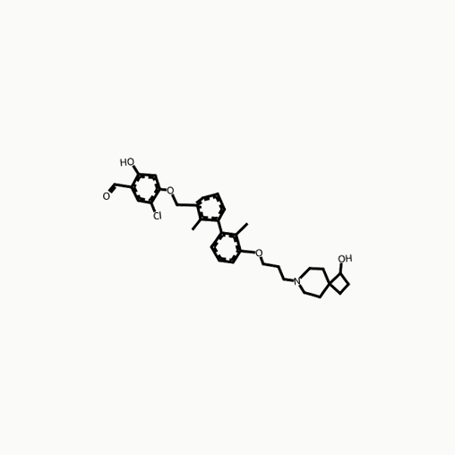 Cc1c(COc2cc(O)c(C=O)cc2Cl)cccc1-c1cccc(OCCCN2CCC3(CCC3O)CC2)c1C